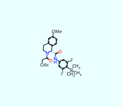 COc1ccc2c(c1)CCN(C(=O)COC(C)=O)[C@H]2C(=O)Nc1cc(F)c([Si](C)(C)C)c(F)c1